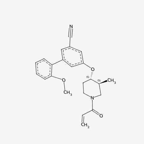 C=CC(=O)N1CC[C@H](Oc2cc(C#N)cc(-c3ccccc3OC)c2)[C@@H](C)C1